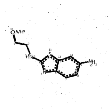 COCCNc1nc2ccc(N)cc2s1